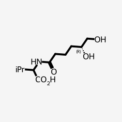 CC(C)C(NC(=O)CCC[C@@H](O)CO)C(=O)O